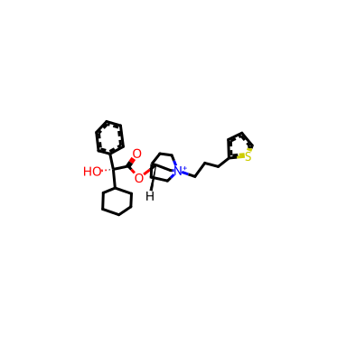 O=C(O[C@H]1C[N+]2(CCCc3cccs3)CCC1CC2)[C@](O)(c1ccccc1)C1CCCCC1